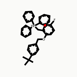 CC(C)(C)c1ccc(COc2ccc(F)cc2C[PH](c2ccccc2)(c2ccccc2)c2ccccc2)cc1